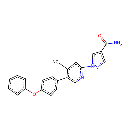 N#Cc1cc(-n2cc(C(N)=O)cn2)ncc1-c1ccc(Oc2ccccc2)cc1